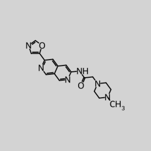 CN1CCN(CC(=O)Nc2cc3cc(-c4cnco4)ncc3cn2)CC1